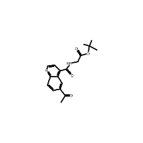 CC(=O)c1ccc2nccc(C(=O)NCC(=O)OC(C)(C)C)c2c1